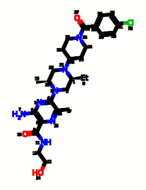 CC[C@H]1CN(c2nc(N)c(C(=O)NCCO)nc2C)[C@H](C)CN1C1CCN(C(=O)c2ccc(Cl)cc2)CC1